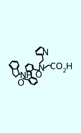 O=C(O)CCN(CCc1ccccn1)C(=O)c1ccccc1-c1ccccc1C(=O)NC1CCc2ccccc21